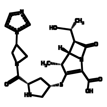 C[C@@H](O)[C@H]1C(=O)N2C(C(=O)O)=C(S[C@@H]3CN[C@H](C(=O)N4CC(n5ccnc5)C4)C3)[C@H](C)[C@H]12